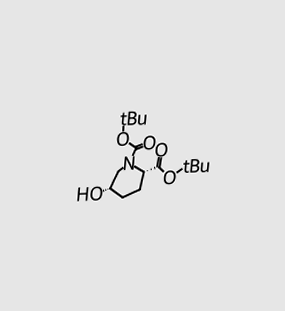 CC(C)(C)OC(=O)[C@@H]1CC[C@H](O)CN1C(=O)OC(C)(C)C